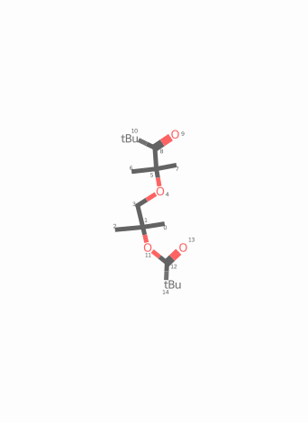 CC(C)(COC(C)(C)C(=O)C(C)(C)C)OC(=O)C(C)(C)C